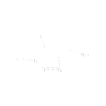 CCCCn1nnc(CC(C)(C)C)c1F